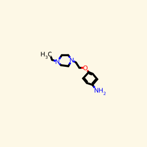 CCN1CCN(CCOc2ccc(N)cc2)CC1